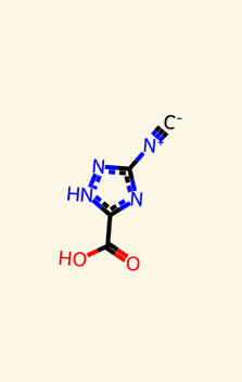 [C-]#[N+]c1n[nH]c(C(=O)O)n1